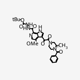 COc1cnc(C(=O)NNC(=O)OC(C)(C)C)c2[nH]cc(C(=O)C(=O)N3CCN(C(=O)c4ccccc4)[C@H](C)C3)c12